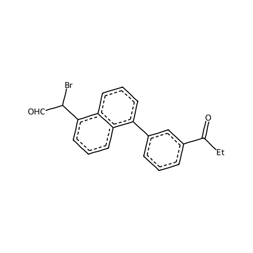 CCC(=O)c1cccc(-c2cccc3c(C(Br)C=O)cccc23)c1